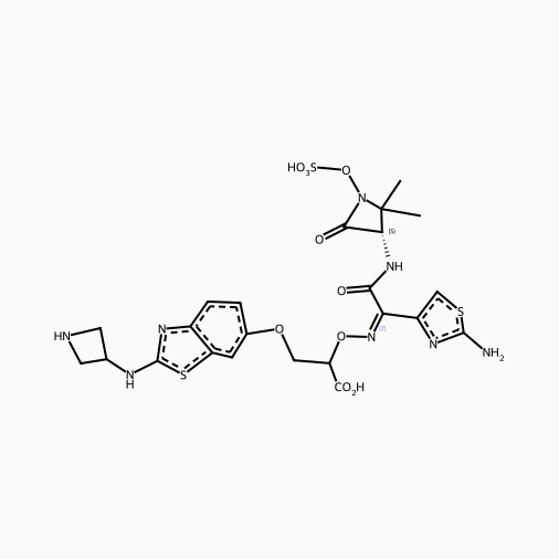 CC1(C)[C@H](NC(=O)/C(=N\OC(COc2ccc3nc(NC4CNC4)sc3c2)C(=O)O)c2csc(N)n2)C(=O)N1OS(=O)(=O)O